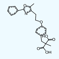 Cc1oc(-c2ccccc2)nc1CCOc1ccc(CC(C)(C(=O)O)C(=O)O)cc1